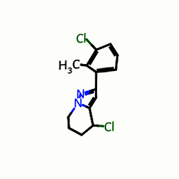 Cc1c(Cl)cccc1-c1cc2n(n1)CCCC2Cl